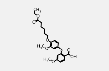 CCOC(=O)CCCCCOc1ccc(Sc2cc(OC)ccc2C(=O)O)cc1OC